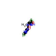 CN(C(=O)CC(=O)N1CCN(c2ncc(C(F)(F)F)cn2)CC1)[C@@H]1CCc2c1n[nH]c(=O)c2C(F)(F)F